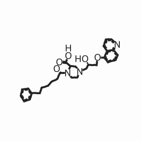 O=C(O)C1CN(C[C@@H](O)COc2cccc3ncccc23)CCN1C(=O)CCCCCc1ccccc1